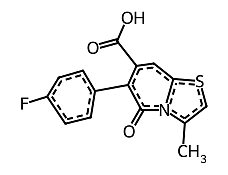 Cc1csc2cc(C(=O)O)c(-c3ccc(F)cc3)c(=O)n12